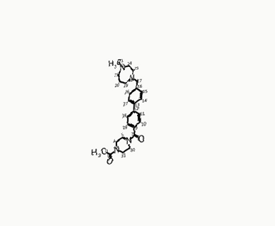 CC(=O)N1CCN(C(=O)c2ccc(-c3ccc(CN4CCCN(C)CC4)cc3)cc2)CC1